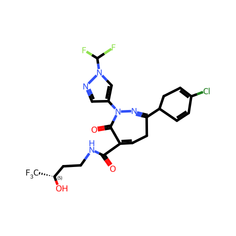 O=C(NCC[C@H](O)C(F)(F)F)C1=CCC(C2C=CC(Cl)=CC2)=NN(c2cnn(C(F)F)c2)C1=O